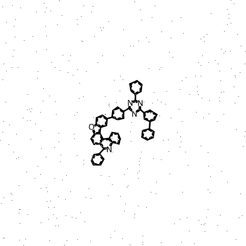 c1ccc(-c2cccc(-c3nc(-c4ccccc4)nc(-c4ccc(-c5ccc6oc7ccc8c(-c9ccccc9)nc9ccccc9c8c7c6c5)cc4)n3)c2)cc1